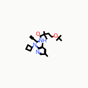 C#CC(NC(=O)C(C)(C)CCOC(C)(C)C)N(c1ncc(C)cc1C)C1CCC1